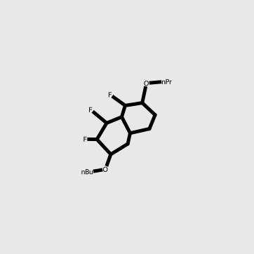 CCCCOC1CC2CCC(OCCC)C(F)C2C(F)C1F